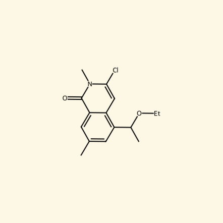 CCOC(C)c1cc(C)cc2c(=O)n(C)c(Cl)cc12